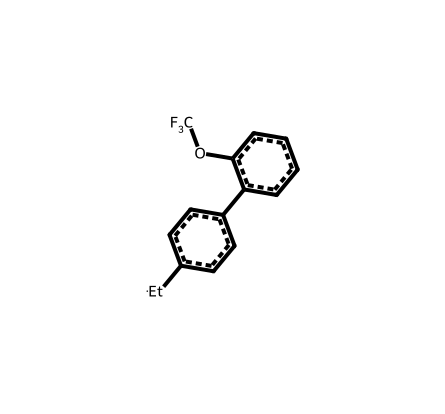 C[CH]c1ccc(-c2ccccc2OC(F)(F)F)cc1